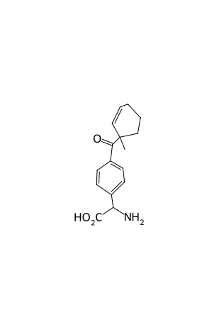 CC1(C(=O)c2ccc(C(N)C(=O)O)cc2)C=CCCC1